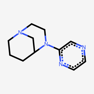 c1cnc(N2CCN3CCCC2C3)cn1